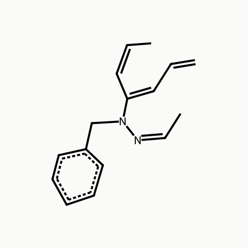 C=C/C=C(\C=C/C)N(Cc1ccccc1)/N=C\C